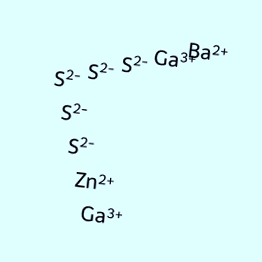 [Ba+2].[Ga+3].[Ga+3].[S-2].[S-2].[S-2].[S-2].[S-2].[Zn+2]